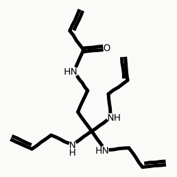 C=CCNC(CCNC(=O)C=C)(NCC=C)NCC=C